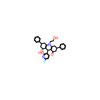 O=C1CC(c2ccccc2)CC2=C1C(c1ccc(F)nc1O)C1=C(CC(c3ccccc3)CC1=O)N2CCO